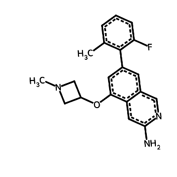 Cc1cccc(F)c1-c1cc(OC2CN(C)C2)c2cc(N)ncc2c1